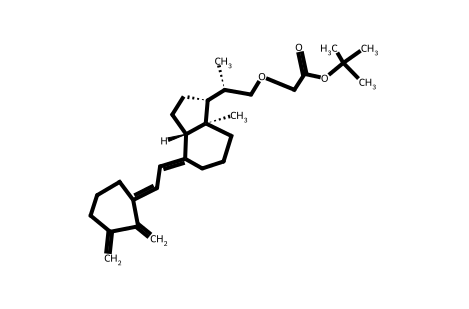 C=C1CCCC(=CC=C2CCC[C@]3(C)[C@@H]([C@H](C)COCC(=O)OC(C)(C)C)CC[C@@H]23)C1=C